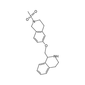 CS(=O)(=O)N1CCc2cc(OCC3NCCc4ccccc43)ccc2C1